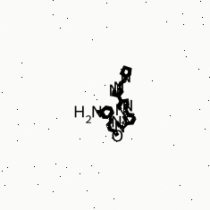 Nc1cccc(-c2ccc(=O)n(Cc3cccc(-c4ncc(-c5cnn(CCN6CCCC6)c5)cn4)c3)n2)c1